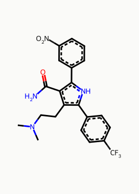 CN(C)CCc1c(-c2ccc(C(F)(F)F)cc2)[nH]c(-c2cccc([N+](=O)[O-])c2)c1C(N)=O